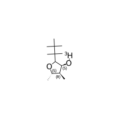 [3H]O[C@@H]1C(C(C)(C)C(C)(C)C)O[C@@H](C)[C@@H]1C